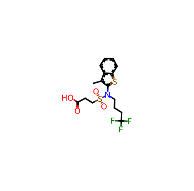 Cc1c(N(CCCC(F)(F)F)S(=O)(=O)CCC(=O)O)sc2ccccc12